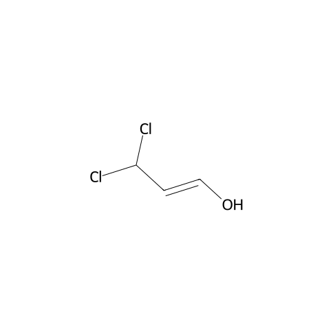 OC=CC(Cl)Cl